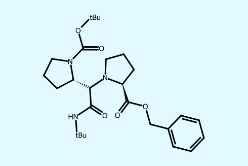 CC(C)(C)NC(=O)C([C@@H]1CCCN1C(=O)OC(C)(C)C)N1CCC[C@H]1C(=O)OCc1ccccc1